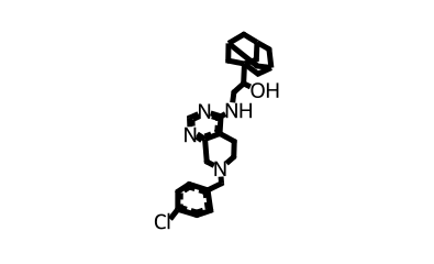 OC(CNc1ncnc2c1CCN(Cc1ccc(Cl)cc1)C2)C12CC3CC(CC(C3)C1)C2